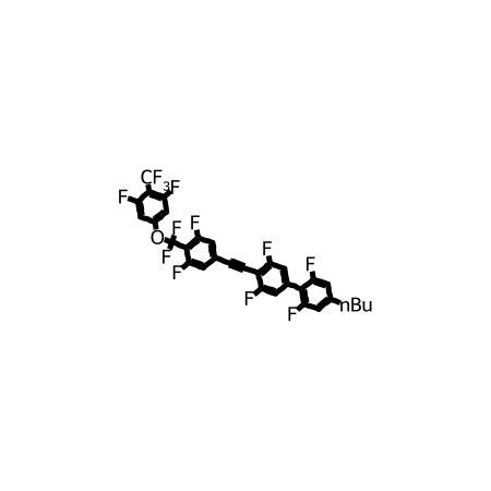 CCCCc1cc(F)c(-c2cc(F)c(C#Cc3cc(F)c(C(F)(F)Oc4cc(F)c(C(F)(F)F)c(F)c4)c(F)c3)c(F)c2)c(F)c1